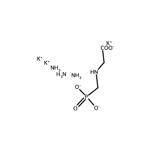 N.N.N.O=C([O-])CNCP(=O)([O-])[O-].[K+].[K+].[K+]